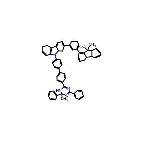 CC1(c2ccccc2)N=C(c2ccccc2)N=C(c2ccc(-c3ccc(N4C5=C(CCC=C5)C5=CC=C(C6=CC(C7=C8C(CC=C7)C7C=CC=CC7C8(C)C)=CCC6)CC54)cc3)cc2)N1